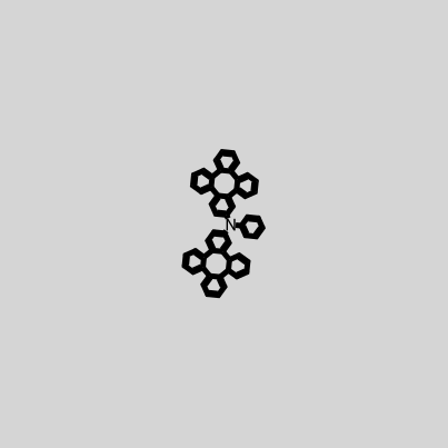 C1=CC2c3ccccc3-c3ccccc3-c3ccc(N(c4ccccc4)c4ccc5c(c4)-c4ccccc4-c4ccccc4-c4ccccc4-5)cc3C2C=C1